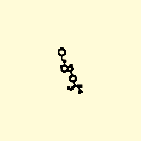 C=C(NC1CC1)c1ccc(-c2cnc3c(OCC4CCOCC4)nccn23)cc1